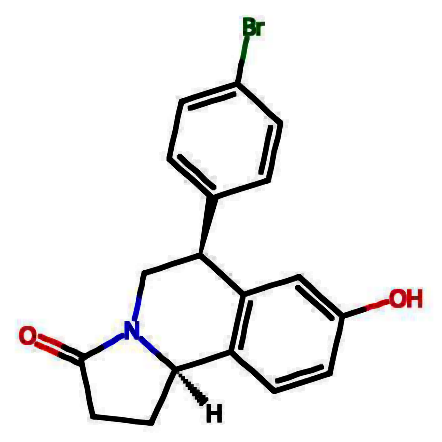 O=C1CC[C@@H]2c3ccc(O)cc3[C@H](c3ccc(Br)cc3)CN12